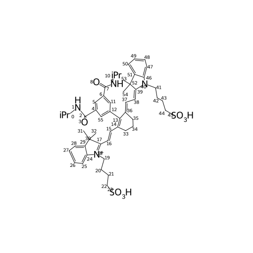 CC(C)NC(=O)c1cc(C(=O)NC(C)C)cc(C2=C(/C=C/C3=[N+](CCCCS(=O)(=O)O)c4ccccc4C3(C)C)CCC/C2=C\C=C2\N(CCCCS(=O)(=O)O)c3ccccc3C2(C)C)c1